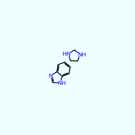 C1CNCN1.c1ccc2[nH]cnc2c1